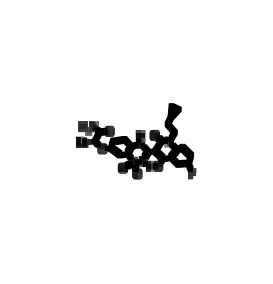 CC[C@H](Oc1ccc2c(c1)S(=O)(=O)N=C(c1c(O)c3cc(F)ccc3n(CCC3CC3)c1=O)N2)C(N)=O